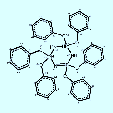 c1ccc(OP2(Oc3ccccc3)=N[PH](Oc3ccccc3)(Oc3ccccc3)N[PH](Oc3ccccc3)(Oc3ccccc3)N2)cc1